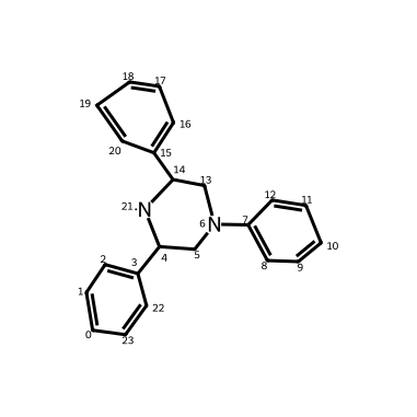 c1ccc(C2CN(c3ccccc3)CC(c3ccccc3)[N]2)cc1